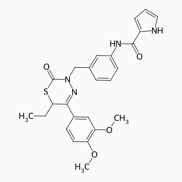 CCC1SC(=O)N(Cc2cccc(NC(=O)c3ccc[nH]3)c2)N=C1c1ccc(OC)c(OC)c1